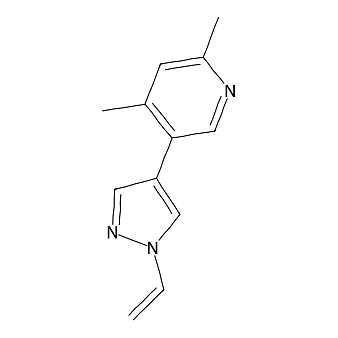 C=Cn1cc(-c2cnc(C)cc2C)cn1